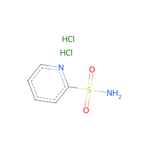 Cl.Cl.NS(=O)(=O)c1ccccn1